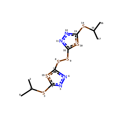 CC(C)Sc1nnc(SSc2nnc(SC(C)C)s2)s1